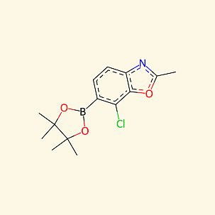 Cc1nc2ccc(B3OC(C)(C)C(C)(C)O3)c(Cl)c2o1